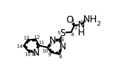 NNC(=O)CSc1nccc(-c2ccccn2)n1